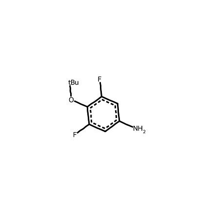 CC(C)(C)Oc1c(F)cc(N)cc1F